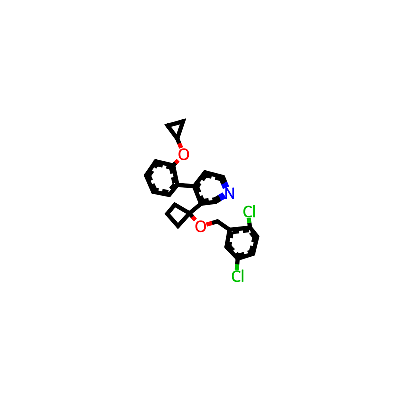 Clc1ccc(Cl)c(COC2(c3cnccc3-c3ccccc3OC3CC3)CCC2)c1